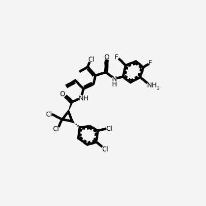 C=C/C(=C\C(C(=O)Nc1cc(N)c(F)cc1F)=C(/C)Cl)NC(=O)[C@H]1[C@H](c2ccc(Cl)c(Cl)c2)C1(Cl)Cl